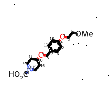 COCCOc1ccc(COC2CCN(C(=O)O)CC2)cc1